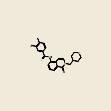 Cc1ccc(C(=O)Nc2cccc3c(=O)n(CC4CCOCC4)ccc23)cc1Cl